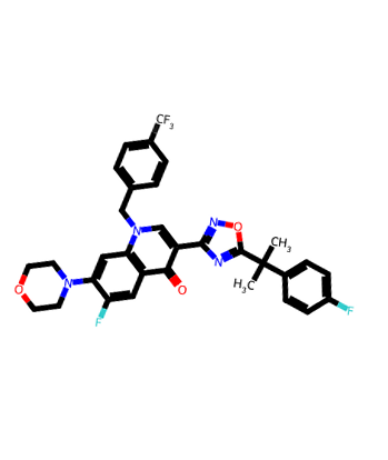 CC(C)(c1ccc(F)cc1)c1nc(-c2cn(Cc3ccc(C(F)(F)F)cc3)c3cc(N4CCOCC4)c(F)cc3c2=O)no1